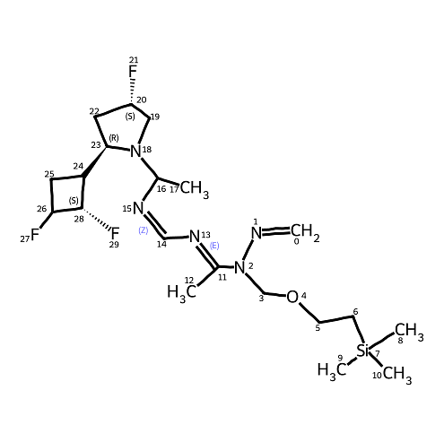 C=NN(COCC[Si](C)(C)C)/C(C)=N/C=N\C(C)N1C[C@@H](F)C[C@@H]1C1CC(F)[C@H]1F